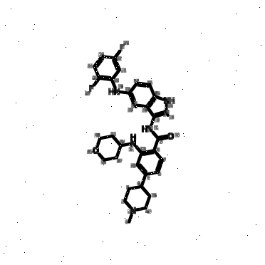 CN1CCC(c2ccc(C(=O)Nc3n[nH]c4ccc(Nc5cc(F)ccc5F)nc34)c(NC3CCOCC3)c2)CC1